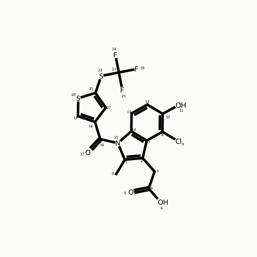 Cc1c(CC(=O)O)c2c(Cl)c(O)ccc2n1C(=O)c1csc(SC(F)(F)F)c1